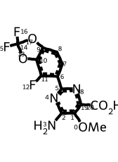 COc1c(N)nc(-c2ccc3c(c2F)OC(F)(F)O3)nc1C(=O)O